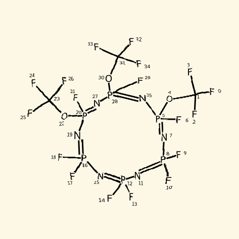 FC(F)(F)OP1(F)=NP(F)(F)=NP(F)(F)=NP(F)(F)=NP(F)(OC(F)(F)F)=NP(F)(OC(F)(F)F)=N1